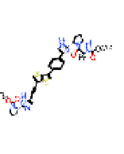 COC(=O)N[C@H](C(=O)N1CCC[C@H]1c1nc(-c2ccc(-c3csc4c(C#Cc5cnc([C@@H]6CCCN6C(=O)OC(C)(C)C)[nH]5)csc34)cc2)c[nH]1)C(C)C